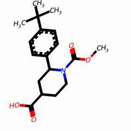 COC(=O)N1CCC(C(=O)O)CC1c1ccc(C(C)(C)C)cc1